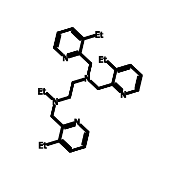 CCc1cccnc1CN(CC)CCN(Cc1ncccc1CC)Cc1ncccc1CC